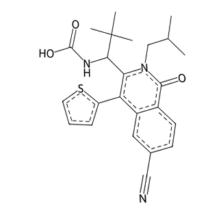 CC(C)Cn1c(C(NC(=O)O)C(C)(C)C)c(-c2cccs2)c2cc(C#N)ccc2c1=O